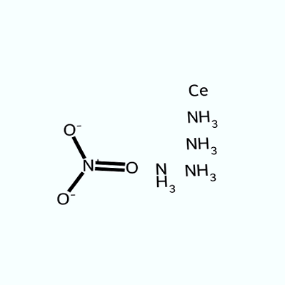 N.N.N.N.O=[N+]([O-])[O-].[Ce]